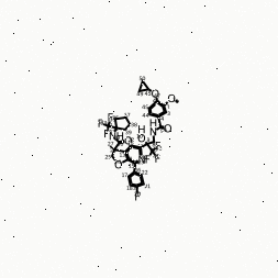 COc1cc(C(=O)NCC(O)(c2cc3c(c(-c4ccc(F)cc4)n2)OC[C@]3(C)C(=O)NC2(C(F)(F)F)CCCC2)C(F)(F)F)ccc1OC1CC1